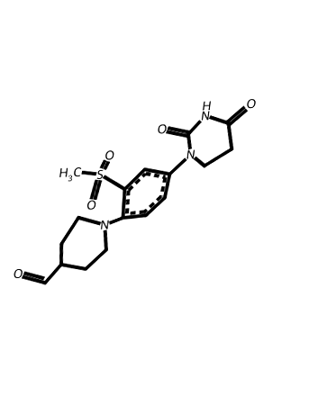 CS(=O)(=O)c1cc(N2CCC(=O)NC2=O)ccc1N1CCC(C=O)CC1